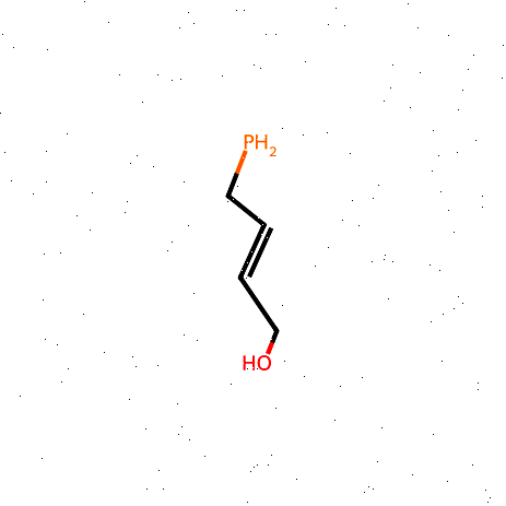 OCC=CCP